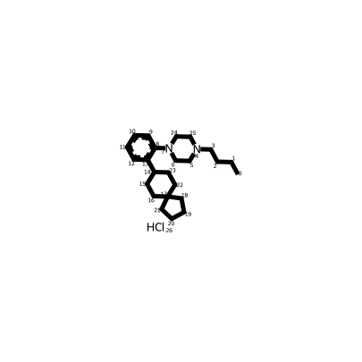 CCCCN1CCN(c2ccccc2C2CCC3(CCCC3)CC2)CC1.Cl